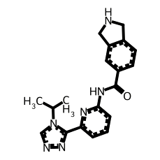 CC(C)n1cnnc1-c1cccc(NC(=O)c2ccc3c(c2)CNC3)n1